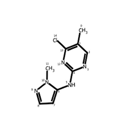 Cc1cnc(Nc2ccnn2C)nc1Cl